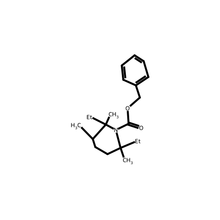 CCC1(C)CCC(C)C(C)(CC)N1C(=O)OCc1ccccc1